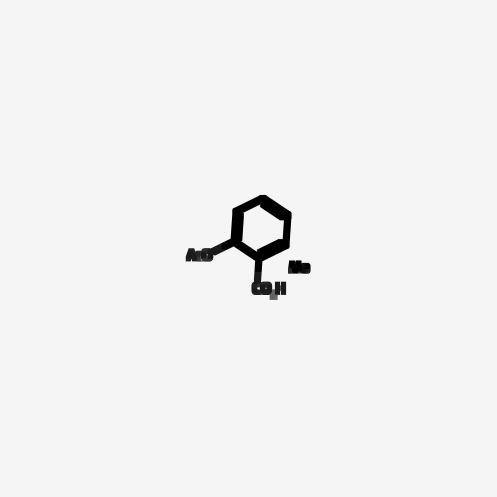 CC(=O)Oc1ccccc1C(=O)O.[Mo]